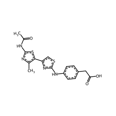 CC(=O)Nc1nc(C)c(-c2csc(Nc3ccc(CC(=O)O)cc3)n2)s1